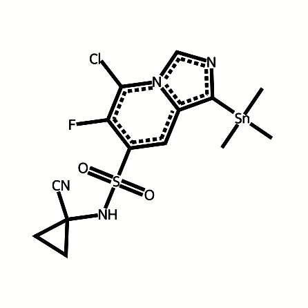 [CH3][Sn]([CH3])([CH3])[c]1ncn2c(Cl)c(F)c(S(=O)(=O)NC3(C#N)CC3)cc12